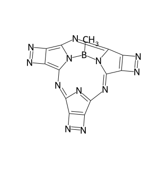 CB1n2c3c4c(c2/N=C2N=C(/N=c5/c6c(c(n51)=N3)N=N6)C1=C\2N=N1)N=N4